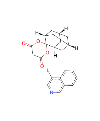 Ic1cncc2ccccc12.O=C1CC(=O)OC2(O1)[C@H]1C[C@H]3C[C@H](C1)C[C@H]2C3